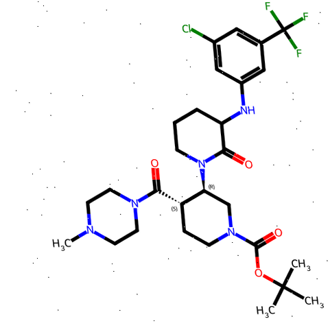 CN1CCN(C(=O)[C@H]2CCN(C(=O)OC(C)(C)C)C[C@@H]2N2CCCC(Nc3cc(Cl)cc(C(F)(F)F)c3)C2=O)CC1